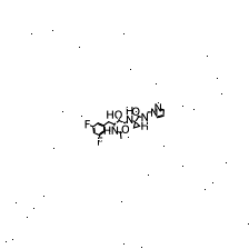 CC(=O)NC(Cc1cc(F)cc(F)c1)C(O)CNC1(C(=O)NCn2cccn2)CC1